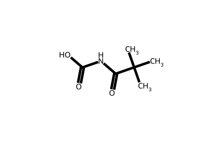 CC(C)(C)C(=O)NC(=O)O